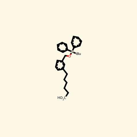 CC(C)(C)[Si](OCc1cccc(CCCCCC(=O)O)c1)(c1ccccc1)c1ccccc1